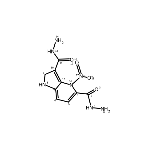 NNC(=O)C1=CC=C2NCC(C(=O)NN)=C2N1[N+](=O)[O-]